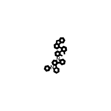 Cc1cccc(-c2cccc3c2-c2ccccc2C3)c1-c1cccc(-n2c3ccccc3c3c4c(ccc32)N(c2ccccc2)C2C=CC=CC42)c1C